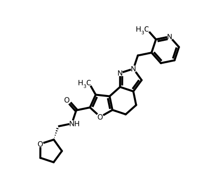 Cc1ncccc1Cn1cc2c(n1)-c1c(oc(C(=O)NC[C@@H]3CCCO3)c1C)CC2